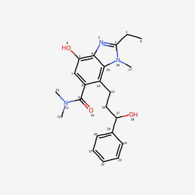 CCc1nc2c(O)cc(C(=O)N(C)C)c(CCC(O)c3ccccc3)c2n1C